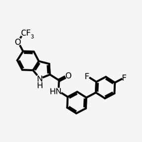 O=C(Nc1cccc(-c2ccc(F)cc2F)c1)c1cc2cc(OC(F)(F)F)ccc2[nH]1